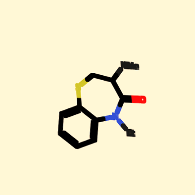 CCN1C(=O)C(NC)CSc2ccccc21